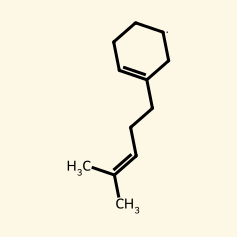 CC(C)=CCCC1=CCC[CH]C1